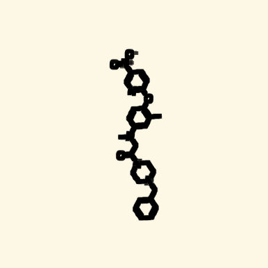 Cc1cc(N(C)CC(=O)N2CCN(Cc3ccccc3)CC2)ccc1Oc1ccc([N+](=O)[O-])cn1